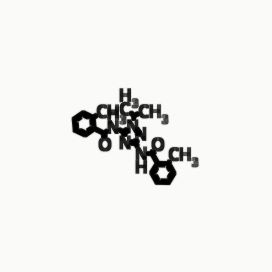 Cc1ccccc1C(=O)Nc1nc(NC(=O)c2ccccc2C)n(C(C)C)n1